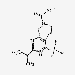 CC(C)c1nc2c(c(C(F)(F)F)n1)CCN(C(=O)O)C2